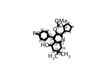 COC(=O)Oc1c(C2CCCC2)nc2c(c1-c1ccc(F)cc1)C(O)CC(C)(C)C2